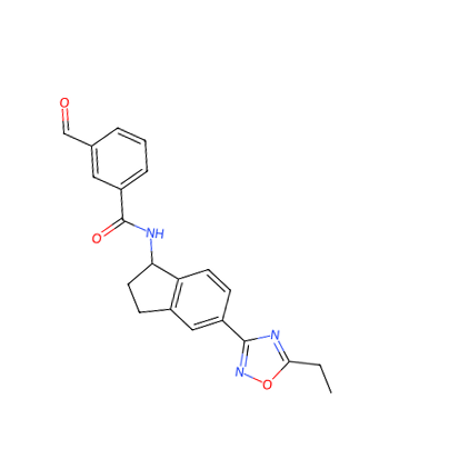 CCc1nc(-c2ccc3c(c2)CCC3NC(=O)c2cccc(C=O)c2)no1